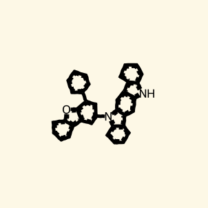 c1ccc(-c2cc(-n3c4ccccc4c4cc5[nH]c6ccccc6c5cc43)cc3c2oc2ccccc23)cc1